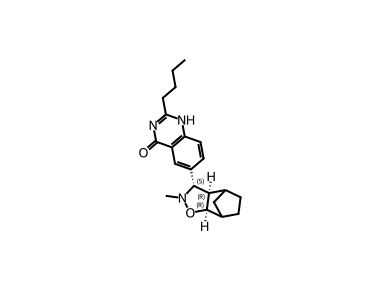 CCCCc1nc(=O)c2cc([C@@H]3[C@H]4C5CCC(C5)[C@H]4ON3C)ccc2[nH]1